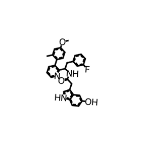 COc1ccc(-c2cccnc2C(Cc2cccc(F)c2)NC(=O)Cc2c[nH]c3ccc(O)cc23)c(C)c1